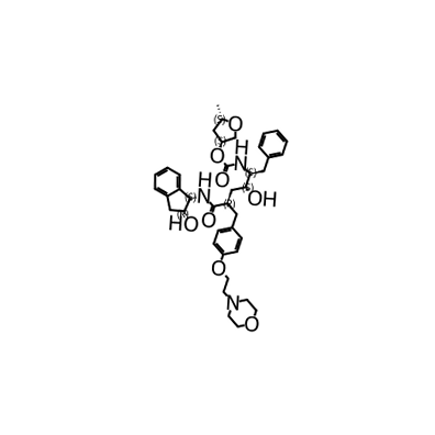 C[C@H]1C[C@H](OC(=O)N[C@@H](Cc2ccccc2)[C@@H](O)C[C@@H](Cc2ccc(OCCN3CCOCC3)cc2)C(=O)N[C@H]2c3ccccc3C[C@H]2O)CO1